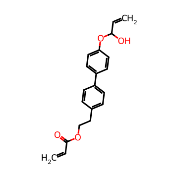 C=CC(=O)OCCc1ccc(-c2ccc(OC(O)C=C)cc2)cc1